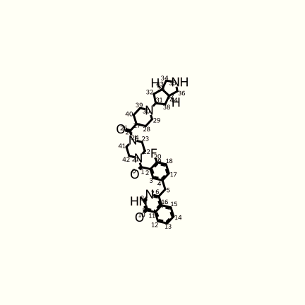 O=C(c1cc(Cc2n[nH]c(=O)c3ccccc23)ccc1F)N1CCN(C(=O)C2CCN(C3C[C@H]4CNC[C@H]4C3)CC2)CC1